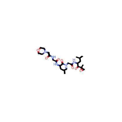 CC(C)CC(NC(=O)CNC(=O)CN1CCOCC1)C(=O)NCC(=O)NC(CC(C)C)C(=O)C1(C)CO1